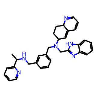 CC(NCc1cccc(CN(Cc2nc3ccccc3[nH]2)C2C=C3C=CC=NC3CC2)c1)c1ccccn1